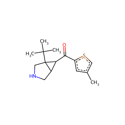 Cc1csc(C(=O)C2C3CNCC32C(C)(C)C)c1